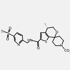 CCS(=O)(=O)c1ccc(CNC(=O)c2cc3c(s2)C2(CCN(C(=O)O)CC2)OC[C@H]3C)nc1